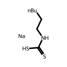 CCCCCCNC(=S)S.[Na]